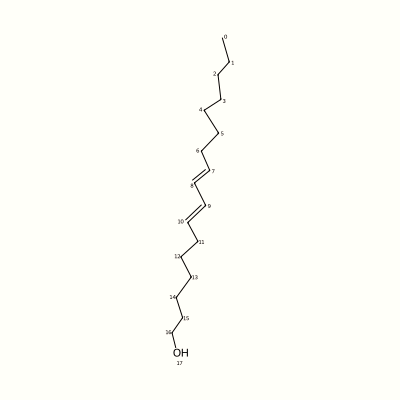 CCCCCCCC=CC=CCCCCCCO